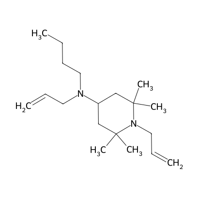 C=CCN(CCCC)C1CC(C)(C)N(CC=C)C(C)(C)C1